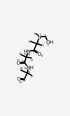 CN(CO)C(C)(C)C(=O)NC(C)(C)C(=O)NC(C)(C)C=O